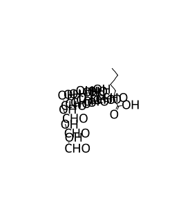 CCCCCC(=O)O.O=CO.O=CO.O=CO.O=CO.O=CO.O=CO.O=CO.O=CO.O=CO.O=CO.O=CO